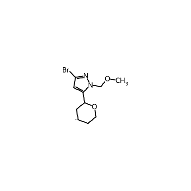 COCn1nc(Br)cc1C1C[CH]CCO1